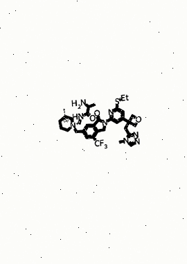 CCSc1cc(C2(Cc3nncn3C)COC2)cc(N2Cc3c(cc(C[N+]4(CNC(=O)C(C)N)CCC[C@H](C)C4)cc3C(F)(F)F)C2=O)n1